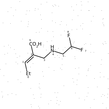 CCC=C(CNCC(F)F)C(=O)O